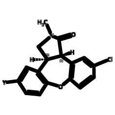 CN1C[C@@H]2c3c[c]([Y])ccc3Oc3ccc(Cl)cc3[C@H]2C1=O